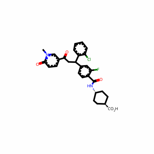 Cn1cc(C(=O)CC(c2ccc(C(=O)N[C@H]3CC[C@H](C(=O)O)CC3)c(F)c2)c2ccccc2Cl)ccc1=O